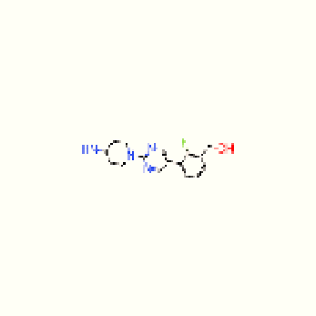 N=C1CCN(c2ncc(-c3cccc(CO)c3F)cn2)CC1